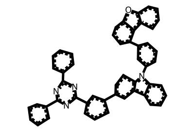 c1ccc(-c2nc(-c3ccccc3)nc(-c3cccc(-c4ccc5c(c4)c4ccccc4n5-c4cccc(-c5cccc6oc7ccccc7c56)c4)c3)n2)cc1